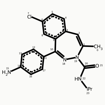 CC1=Cc2ccc(Cl)cc2C(c2ccc(N)cc2)=NN1C(=O)NC(C)C